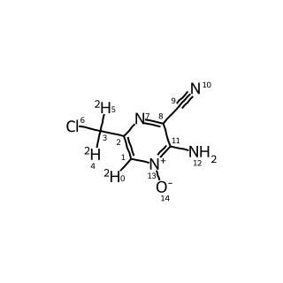 [2H]c1c(C([2H])([2H])Cl)nc(C#N)c(N)[n+]1[O-]